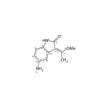 CO/C(C)=C1\C(=O)Nc2ccc(N)cc21